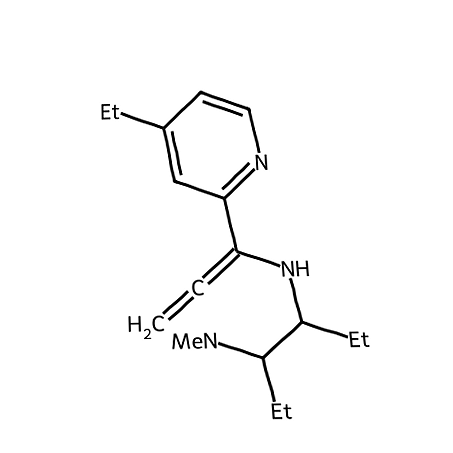 C=C=C(NC(CC)C(CC)NC)c1cc(CC)ccn1